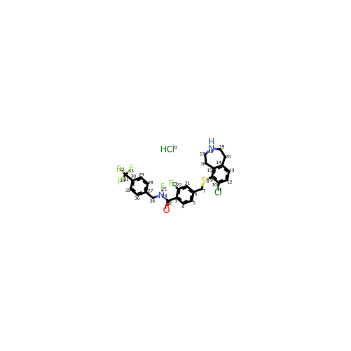 Cl.O=C(c1ccc(CSc2c(Cl)ccc3c2CCNCC3)cc1F)N(F)Cc1ccc(C(F)(F)F)cc1